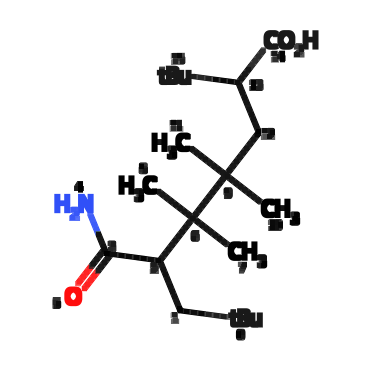 CC(C)(C)CC(C(N)=O)C(C)(C)C(C)(C)CC(C(=O)O)C(C)(C)C